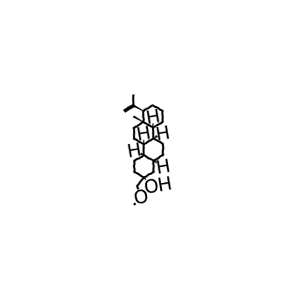 C=C(C)[C@H]1CCC[C@H]2[C@@H]3CC[C@@H]4C[C@@](O)(COC)CC[C@@H]4[C@H]3CC[C@]12C